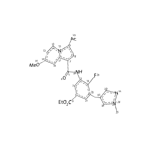 CCOC(=O)c1cc(NC(=O)c2cc(C(C)=O)n3ccc(OC)cc23)c(F)c(-c2cnn(C)c2)c1